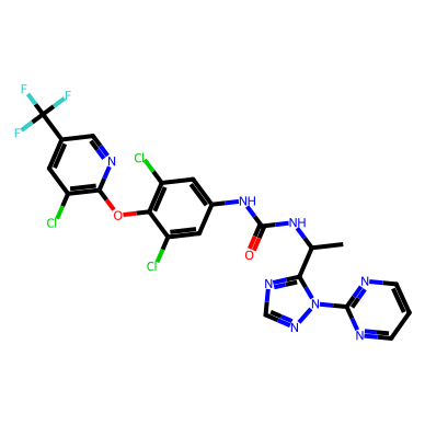 CC(NC(=O)Nc1cc(Cl)c(Oc2ncc(C(F)(F)F)cc2Cl)c(Cl)c1)c1ncnn1-c1ncccn1